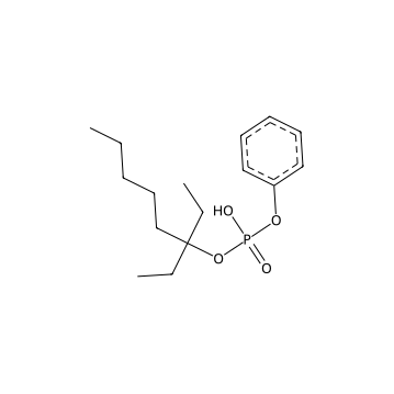 CCCCCC(CC)(CC)OP(=O)(O)Oc1ccccc1